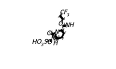 N=C(OCCC(F)(F)F)[C@@H]1CC[C@@H]2CN1C(=O)N2OS(=O)(=O)O